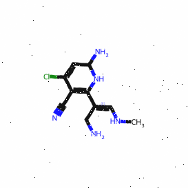 CN/C=C(\CN)C1=C(C#N)C(Cl)=CC(N)N1